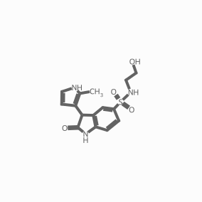 Cc1[nH]ccc1C1C(=O)Nc2ccc(S(=O)(=O)NCCO)cc21